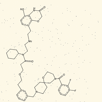 O=C1COc2c(CCNCCN(C(=O)CCOCCc3cccc(CN4CCC5(CC4)CN(C(=O)c4cccc(F)c4F)CCO5)c3)C3CCCCC3)ccc(O)c2N1